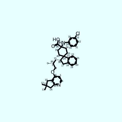 C[C@@H](COc1ccnc2c1CC(C)(C)C2)C[C@H]1Cc2ccccc2C12CCC(Nc1cccc(Cl)c1)(C(=O)O)CC2